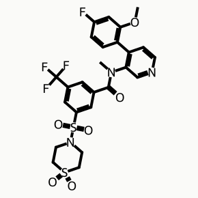 COc1cc(F)ccc1-c1ccncc1N(C)C(=O)c1cc(C(F)(F)F)cc(S(=O)(=O)N2CCS(=O)(=O)CC2)c1